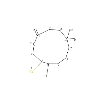 C=C1CCC(S)C(C)CCCC(C)(C)CC1